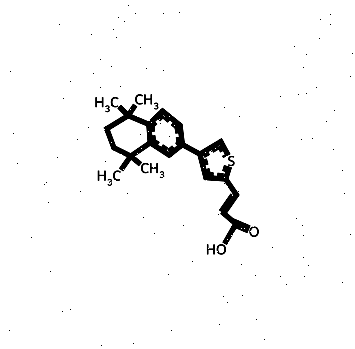 CC1(C)CCC(C)(C)c2cc(-c3csc(C=CC(=O)O)c3)ccc21